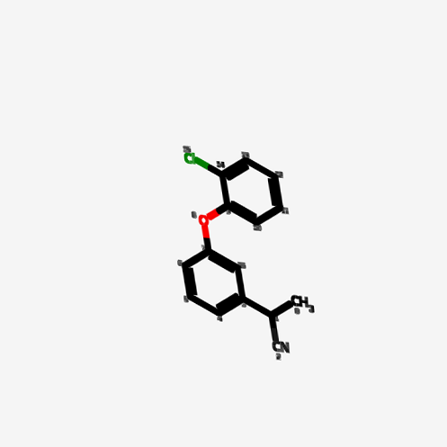 CC(C#N)c1cccc(Oc2ccccc2Cl)c1